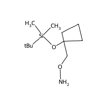 CC(C)(C)[Si](C)(C)OC1(CON)CCC1